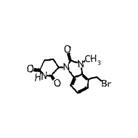 Cn1c(=O)n(C2CCC(=O)NC2=O)c2cccc(CBr)c21